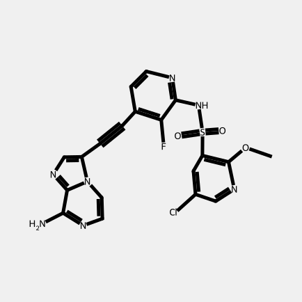 COc1ncc(Cl)cc1S(=O)(=O)Nc1nccc(C#Cc2cnc3c(N)nccn23)c1F